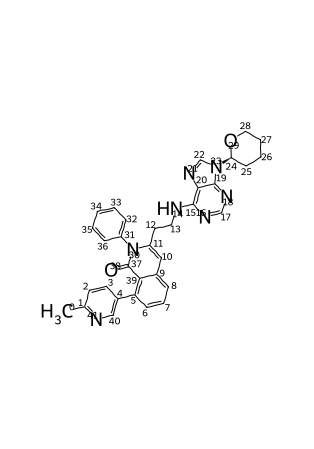 Cc1ccc(-c2cccc3cc(CCNc4ncnc5c4ncn5[C@@H]4CCCCO4)n(-c4ccccc4)c(=O)c23)cn1